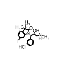 CNC[C@H](O)[C@H](c1ccccc1)N1C(=O)C(C)(C)c2ccc(F)cc21.Cl